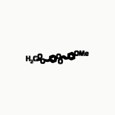 C=CC(=O)OCCc1ccc(OC(=O)/C=C/c2ccc(OC)cc2)cc1